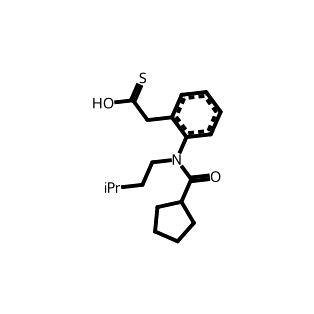 CC(C)CCN(C(=O)C1CCCC1)c1ccccc1CC(O)=S